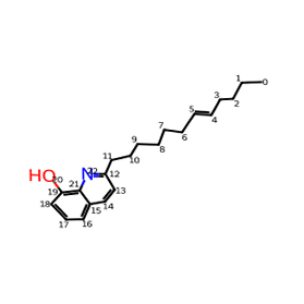 CCCCC=CCCCCCCc1ccc2cccc(O)c2n1